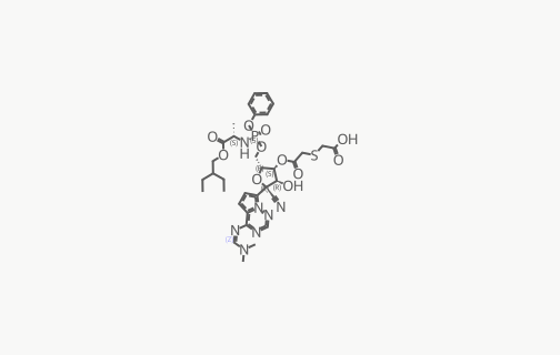 CCC(CC)COC(=O)[C@H](C)N[P@](=O)(OC[C@H]1O[C@@](C#N)(c2ccc3c(/N=C\N(C)C)ncnn23)[C@H](O)[C@@H]1OC(=O)CSCC(=O)O)Oc1ccccc1